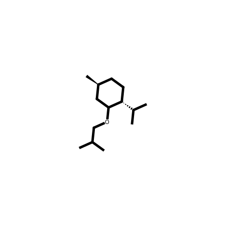 CC(C)COC1C[C@@H](C)CC[C@@H]1C(C)C